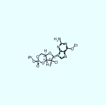 CCOc1nc(N)nc2c1ncn2[C@@H]1O[C@@H]2CO[P@](=O)(OC(C)C)O[C@H]2[C@@]1(F)Cl